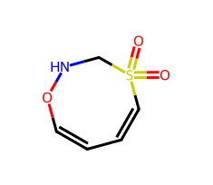 O=S1(=O)/C=C\C=C/ONC1